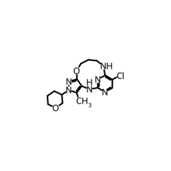 Cc1c2c(nn1C1CCCOC1)OCCCNc1nc(ncc1Cl)N2